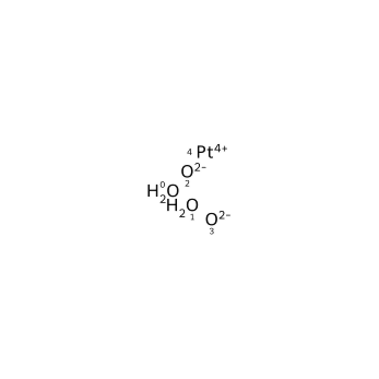 O.O.[O-2].[O-2].[Pt+4]